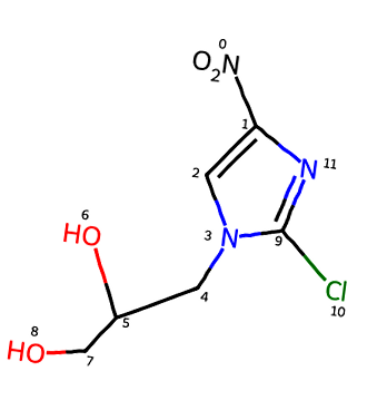 O=[N+]([O-])c1cn(CC(O)CO)c(Cl)n1